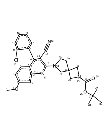 COc1ccc2c(-c3ccccc3Cl)c(C#N)c(N3CCC4(CN(C(=O)OC(C)(C)C)C4)C3)nc2c1